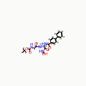 CC(C)(C)OC(=O)NCC(=O)NC[C@H](NC(=O)c1ccc(-c2ccccc2)cc1)C(=O)NO